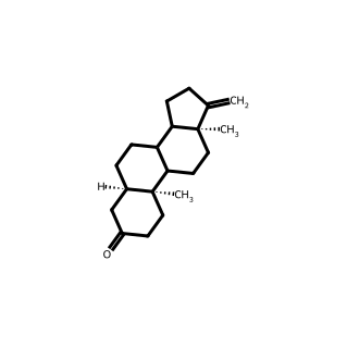 C=C1CCC2C3CC[C@@H]4CC(=O)CC[C@]4(C)C3CC[C@]12C